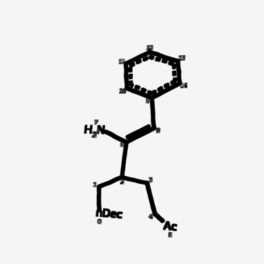 CCCCCCCCCCCC(CCC(C)=O)C(N)=Cc1ccccc1